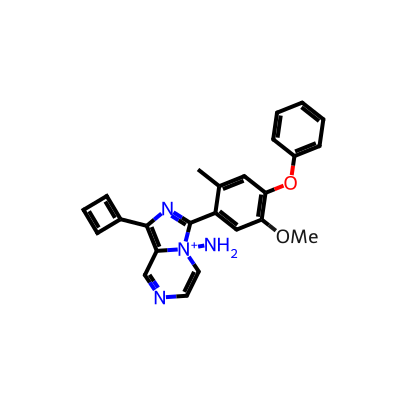 COc1cc(C2=NC(C3=CC=C3)=C3C=NC=C[N+]23N)c(C)cc1Oc1ccccc1